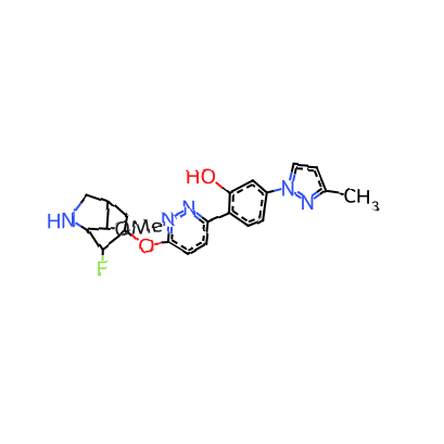 COC1C2CNC1C(F)C(Oc1ccc(-c3ccc(-n4ccc(C)n4)cc3O)nn1)C2